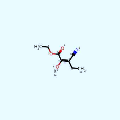 CCOC(=O)/C([O-])=C(\C#N)CC.[K+]